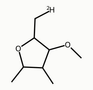 [2H]CC1OC(C)C(C)C1OC